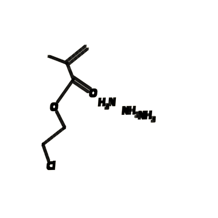 C=C(C)C(=O)OCCCl.N.N.N